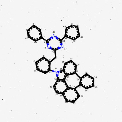 c1ccc(-c2nc(Cc3ccccc3-n3c4cccc5c4c4c6c(cccc6ccc43)-c3ccccc3-5)nc(-c3ccccc3)n2)cc1